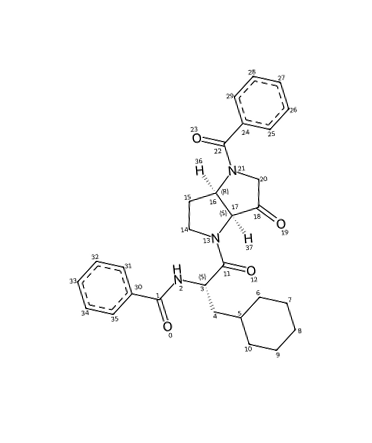 O=C(N[C@@H](CC1CCCCC1)C(=O)N1CC[C@@H]2[C@H]1C(=O)CN2C(=O)c1ccccc1)c1ccccc1